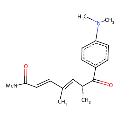 CNC(=O)/C=C/C(C)=C/[C@@H](C)C(=O)c1ccc(N(C)C)cc1